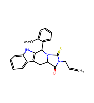 C=CCN1C(=O)C2Cc3c([nH]c4ccccc34)C(c3ccccc3OC)N2C1=S